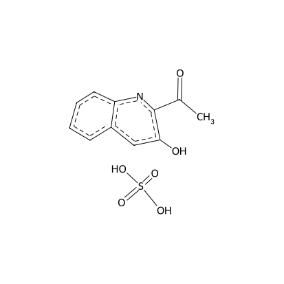 CC(=O)c1nc2ccccc2cc1O.O=S(=O)(O)O